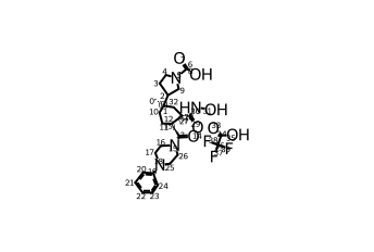 C[C@@]1(C2CCN(C(=O)O)C2)CC[C@H](C(=O)N2CCN(c3ccccc3)CC2)[C@@H](C(=O)NO)C1.O=C(O)C(F)(F)F